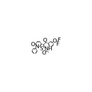 CC(=O)Nc1sc2c(ccc(=O)n2-c2ccccc2)c1C(=O)c1cccc(OC(F)F)c1